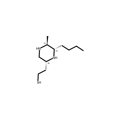 CCCC[C@@H]1N[C@H](CCS)CN[C@H]1C